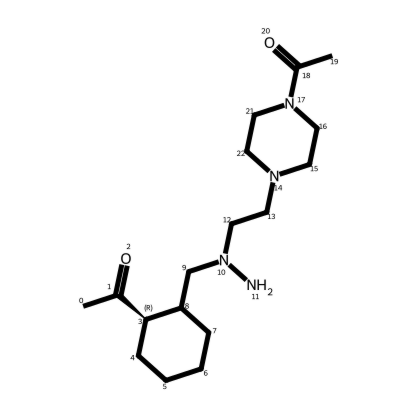 CC(=O)[C@@H]1CCCCC1CN(N)CCN1CCN(C(C)=O)CC1